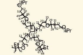 CCC(C)(C)C(C)(C)OC(C)CC(C)(C)CN(CCN(CC(C)(C)CC(C)OC(C)(C)C(C)(C)CCOC(C)C)CC(C)(C)CC(C)OC(C)(C)C(C)(C)CCOC(C)C)CC(C)(C)CC(C)OC(C)(C)C(C)(C)CC